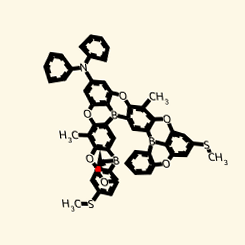 CSc1cc2c3c(c1)Oc1c(cc4c(c1C)Oc1cc(N(c5ccccc5)c5ccccc5)cc5c1B4c1cc4c(c(C)c1O5)Oc1cc(SC)cc5c1B4c1ccccc1O5)B3c1ccccc1O2